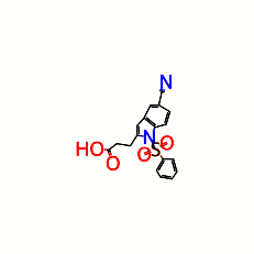 N#Cc1ccc2c(c1)cc(CCC(=O)O)n2S(=O)(=O)c1ccccc1